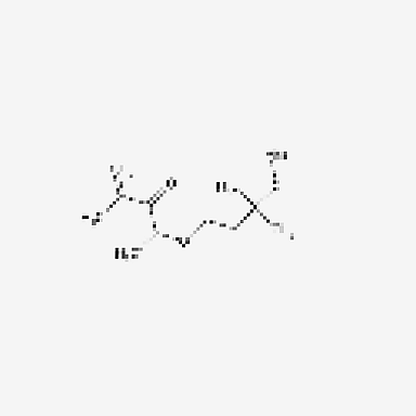 C=C(C)C(=O)C(C)OCCC(C)(C)OC(C)(C)C